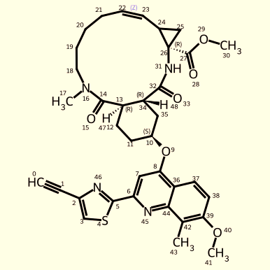 C#Cc1csc(-c2cc(O[C@H]3CC[C@H]4C(=O)N(C)CCCC/C=C\C5C[C@@]5(C(=O)OC)NC(=O)[C@@H]4C3)c3ccc(OC)c(C)c3n2)n1